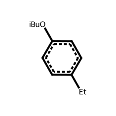 [CH2]Cc1ccc(OCC(C)C)cc1